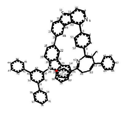 CC1=C(c2ccc(-c3nccc4sc5ccc(-c6ccc7c(c6)c6ccccc6n7-c6cc(-c7ccccc7)cc(-c7ccccc7)c6)cc5c34)cc2)N=C(c2ccccc2)CC=C1c1ccccc1